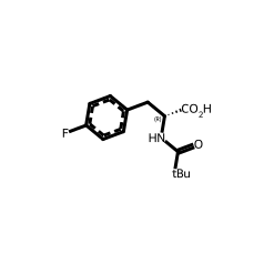 CC(C)(C)C(=O)N[C@H](Cc1ccc(F)cc1)C(=O)O